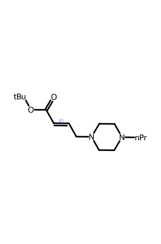 CCCN1CCN(C/C=C/C(=O)OC(C)(C)C)CC1